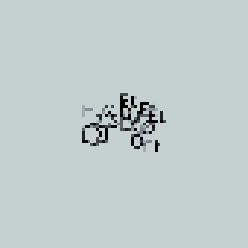 CCO[Si](C[Si](C)(OCC)C1CC2C=CC1C2)(OCC)OCC